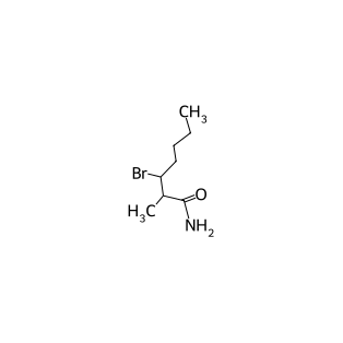 CCCCC(Br)C(C)C(N)=O